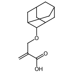 C=C(COC1C2CC3CC(C2)CC1C3)C(=O)O